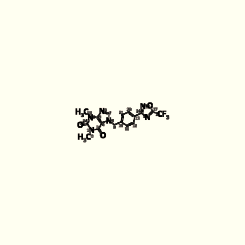 Cn1c(=O)c2c(ncn2Cc2ccc(-c3noc(C(F)(F)F)n3)cc2)n(C)c1=O